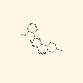 CCOC(=O)c1cnc(-c2ccccc2O)nc1N1CCC(C)CC1